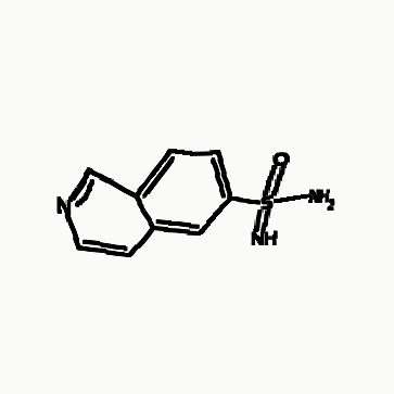 N=S(N)(=O)c1ccc2cnccc2c1